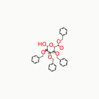 O=C(OCc1ccccc1)C1OC(O)[C@H](OCc2ccccc2)[C@@H](OCc2ccccc2)[C@@H]1OCc1ccccc1